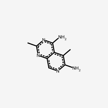 Cc1nc(N)c2c(C)c(N)ncc2n1